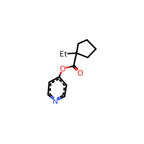 CCC1(C(=O)Oc2ccncc2)CCCC1